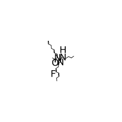 C=CCC/C=C/CN(C(C)=O)/C(=N\CC/C=C(F)\C=C/CC)NCCCC